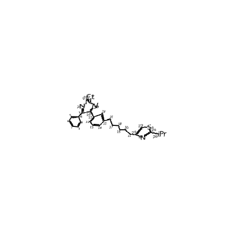 CCn1nc(-c2ccccc2)c(-c2cccc(CCCCCCc3csc(C(C)C)n3)c2)n1